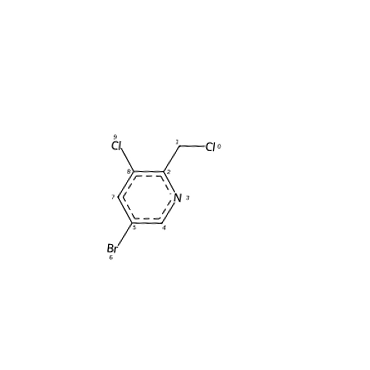 ClCc1ncc(Br)cc1Cl